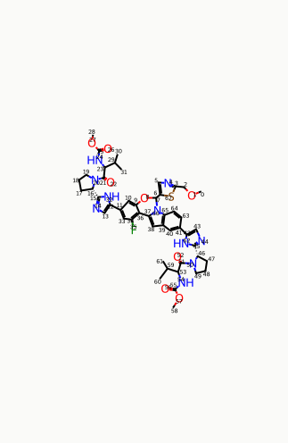 COCc1ncc(C2Oc3cc(-c4cnc([C@@H]5CCCN5C(=O)C(NC(=O)OC)C(C)C)[nH]4)cc(F)c3-c3cc4cc(-c5cnc([C@@H]6CCCN6C(=O)C(NC(=O)OC)C(C)C)[nH]5)ccc4n32)s1